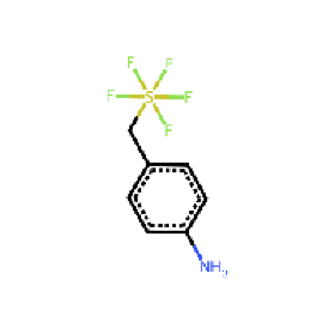 Nc1ccc(CS(F)(F)(F)(F)F)cc1